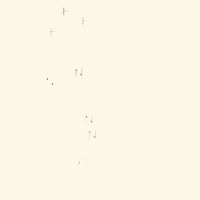 O=c1ccc(-c2cnc(OCC(F)(F)F)nc2)nn1Cc1ccccc1